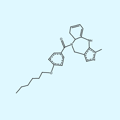 CCCCCCOc1ccc(C(=O)N2Cc3cnn(C)c3NC3=CC=CCC32)cc1